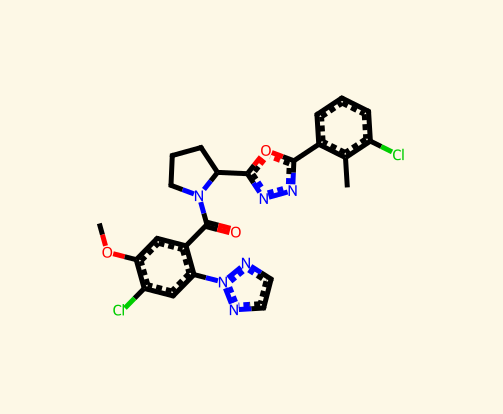 COc1cc(C(=O)N2CCCC2c2nnc(-c3cccc(Cl)c3C)o2)c(-n2nccn2)cc1Cl